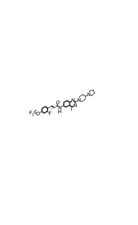 Cc1nc(N2CCC(N3CCCC3)CC2)nc2ccc(NC(=O)/C=C/c3ccc(OC(F)(F)F)cc3F)cc12